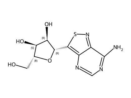 Nc1ncnc2c([C@@H]3O[C@H](CO)[C@@H](O)[C@H]3O)snc12